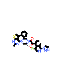 C/C=C(/C(=O)C(=O)N1CCN(c2nc(C)nc3scc(-c4ccccc4)c23)C[C@H]1C)c1c(F)cnc(-n2ccnn2)c1C